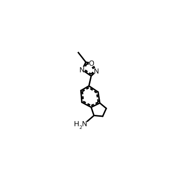 Cc1nc(-c2ccc3c(c2)CCC3N)no1